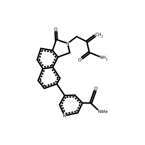 C=C(CN1Cc2c(ccc3ccc(-c4cncc(C(=O)NC)c4)cc23)C1=O)C(N)=O